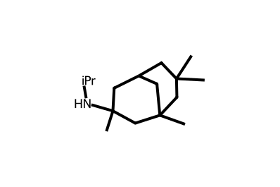 CC(C)NC1(C)CC2CC(C)(C)CC(C)(C2)C1